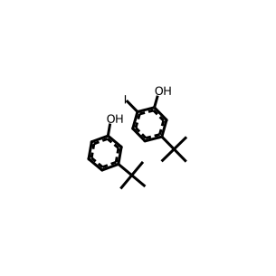 CC(C)(C)c1ccc(I)c(O)c1.CC(C)(C)c1cccc(O)c1